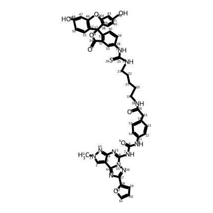 Cn1cc2c(nc(NC(=O)Nc3ccc(CC(=O)NCCCCCNC(=S)Nc4ccc5c(c4)C(=O)OC54c5ccc(O)cc5Oc5cc(O)ccc54)cc3)n3nc(-c4ccco4)nc23)n1